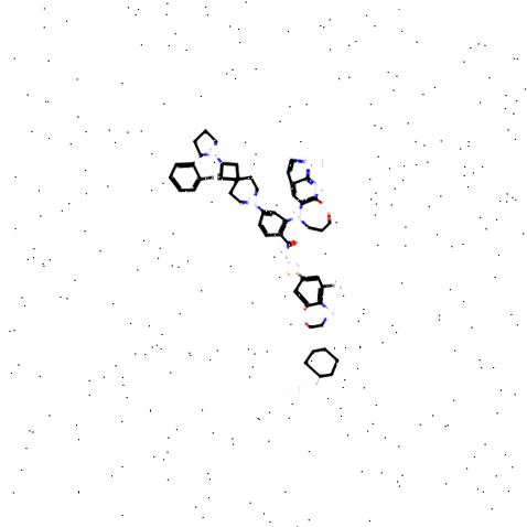 CC(C)c1ccccc1[C@@H]1CCCN1C1CC2(CCN(c3ccc(C(=O)NS(=O)(=O)c4cc5c(c([N+](=O)[O-])c4)N[C@H](C[C@H]4CC[C@H](O)CC4)CO5)c(N4CCCOc5nc6[nH]ccc6cc54)c3)CC2)C1